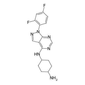 NC1CCC(Nc2ncnc3c2cnn3-c2ccc(F)cc2F)CC1